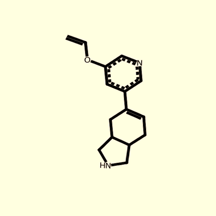 C=COc1cncc(C2=CCC3CNCC3C2)c1